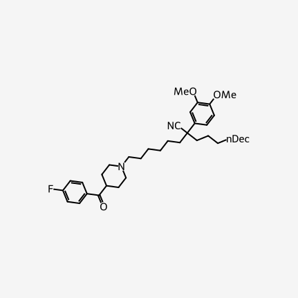 CCCCCCCCCCCCCC(C#N)(CCCCCCN1CCC(C(=O)c2ccc(F)cc2)CC1)c1ccc(OC)c(OC)c1